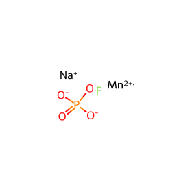 O=P([O-])([O-])[O-].[F].[Mn+2].[Na+]